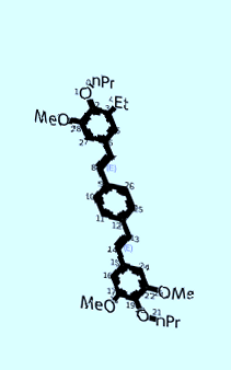 CCCOc1c(CC)cc(/C=C/c2ccc(/C=C/c3cc(OC)c(OCCC)c(OC)c3)cc2)cc1OC